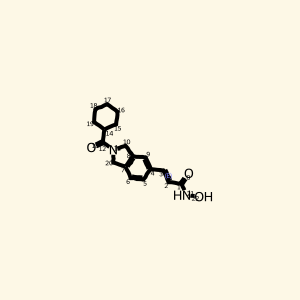 O=C(/C=C/c1ccc2c(c1)CN(C(=O)C1CCCCC1)C2)NO